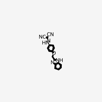 N#CC(C#N)=NNc1ccc(OCc2nc3ccccc3[nH]2)cc1